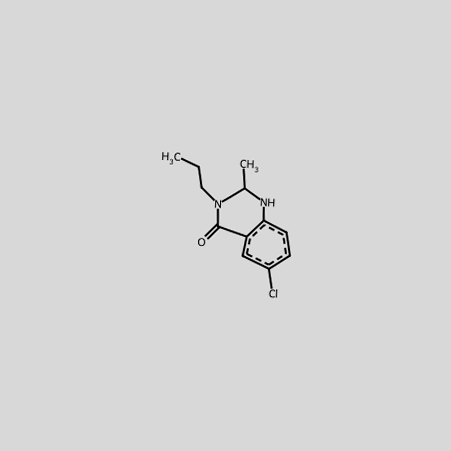 CCCN1C(=O)c2cc(Cl)ccc2NC1C